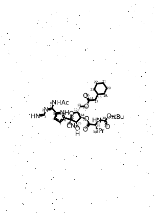 CC(=O)N/C(=N/C=N)c1ccc([C@]2(C#N)O[C@H](COC(=O)CC3CCCCC3)[C@@H](OC(=O)[C@@H](NC(=O)OC(C)(C)C)C(C)C)[C@H]2O)[nH]1